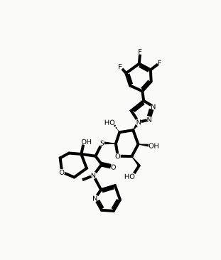 CN(C(=O)C(S[C@@H]1O[C@H](CO)[C@H](O)[C@H](n2cc(-c3cc(F)c(F)c(F)c3)nn2)[C@H]1O)C1(O)CCOCC1)c1ccccn1